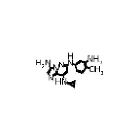 Cc1ccc(Nc2cc(NC3CC3)c3ncc(N)n3n2)cc1N